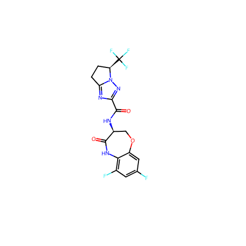 O=C(N[C@H]1COc2cc(F)cc(F)c2NC1=O)c1nc2n(n1)[C@H](C(F)(F)F)CC2